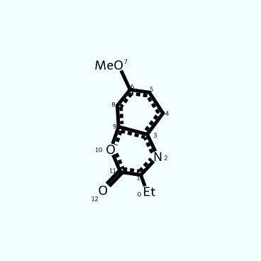 CCc1nc2ccc(OC)cc2oc1=O